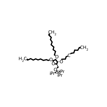 C=CCCCCCCCCO[C@@H]1O[C@H](CO[Si](C(C)C)(C(C)C)C(C)C)[C@@H](OCCCCCCCCC=C)[C@H]1OCCCCCCCCC=C